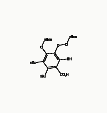 CCCCCCOOc1c(O)c(C(=O)O)c(CCCC)c(CCCC)c1OCCCCCC